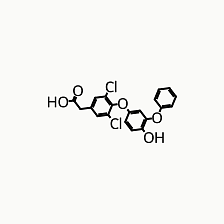 O=C(O)Cc1cc(Cl)c(Oc2ccc(O)c(Oc3ccccc3)c2)c(Cl)c1